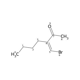 CCCCC(=CBr)C(C)=O